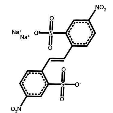 O=[N+]([O-])c1ccc(/C=C/c2ccc([N+](=O)[O-])cc2S(=O)(=O)[O-])c(S(=O)(=O)[O-])c1.[Na+].[Na+]